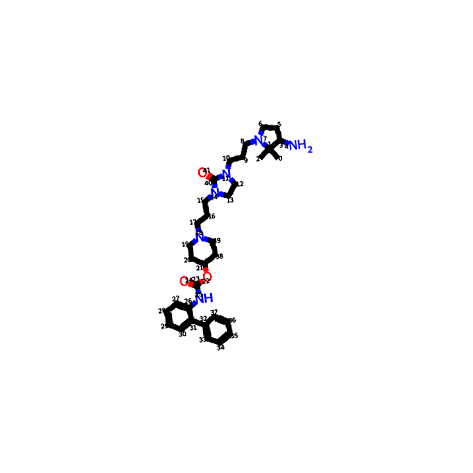 CC1(C)C(N)CCN1CCCN1CCN(CCCN2CCC(OC(=O)Nc3ccccc3-c3ccccc3)CC2)C1=O